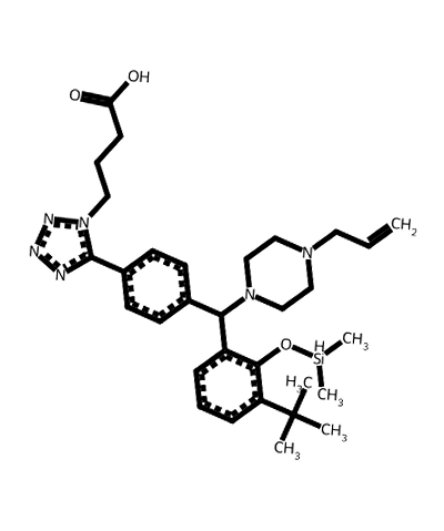 C=CCN1CCN(C(c2ccc(-c3nnnn3CCCC(=O)O)cc2)c2cccc(C(C)(C)C)c2O[SiH](C)C)CC1